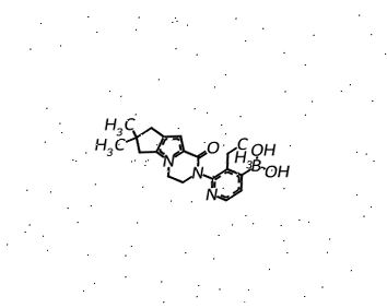 CCc1c(B(O)O)ccnc1N1CCn2c(cc3c2CC(C)(C)C3)C1=O